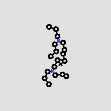 CC1(C)c2cccc(-c3ccc4cc(-c5cccc(N(c6ccc(-c7cccc(-c8ccccc8)c7)cc6)c6cccc(-c7cccc(-c8ccccc8)c7)c6)c5)ccc4c3)c2-c2cccc(-c3ccc(N(c4cccc(-c5cccc(-c6ccccc6)c5)c4)c4cccc(-c5ccc6ccccc6c5)c4)cc3)c21